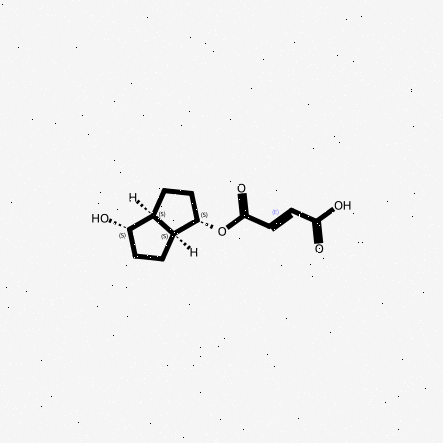 O=C(O)/C=C/C(=O)O[C@H]1CC[C@H]2[C@@H]1CC[C@@H]2O